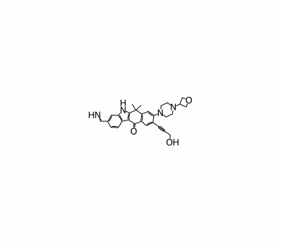 CC1(C)c2cc(N3CCN(C4COC4)CC3)c(C#CCO)cc2C(=O)c2c1[nH]c1cc(C=N)ccc21